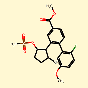 COC(=O)c1ccc(-c2cc(OC)ccc2F)c(C2C(C)CCC2OS(C)(=O)=O)c1